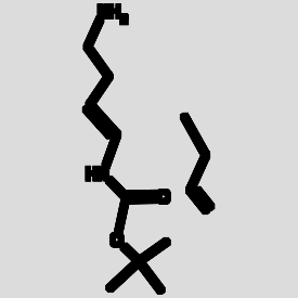 C=CCC.CC(C)(C)OC(=O)NC=CCCN